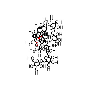 C[C@H](CC[C@@H](O[C@@H]1O[C@H](CO[C@@H]2O[C@H](CO[C@@H]3O[C@H](CO)[C@@H](O)[C@H](O)[C@H]3O)[C@@H](O)[C@H](O)[C@H]2O)[C@@H](O)[C@H](O)[C@H]1O[C@H]1O[C@@H](CO)[C@H](O)[C@@H](O)[C@@H]1O)C(C)(C)O)C1CC[C@@]2(C)C3CC=C4C(CC[C@H](O[C@@H]5O[C@H](CO[C@@H]6O[C@H](CO)[C@@H](O)[C@H](O)[C@H]6O)[C@@H](O)[C@H](O)[C@H]5O)C4(C)C)[C@]3(C)[C@H](O)C[C@]12C